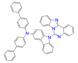 c1ccc(-c2ccc(N(c3ccc(-c4ccccc4)cc3)c3ccc4c(c3)c3ccccc3n4-c3nc4ccccc4c4nc5ccccc5n34)cc2)cc1